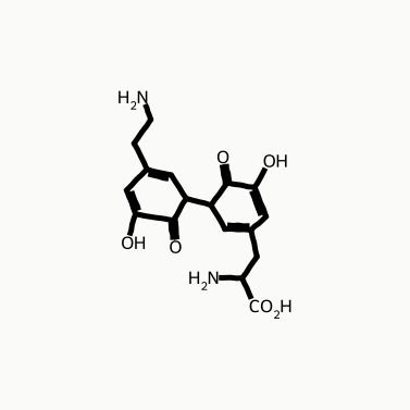 NCCC1=CC(C2C=C(CC(N)C(=O)O)C=C(O)C2=O)C(=O)C(O)=C1